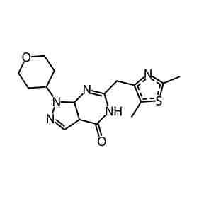 Cc1nc(CC2=NC3C(C=NN3C3CCOCC3)C(=O)N2)c(C)s1